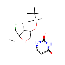 CC[C@@]1(CF)O[C@@H](n2ccc(=O)[nH]c2=O)C(O[Si](C)(C)C(C)(C)C)[C@@H]1C